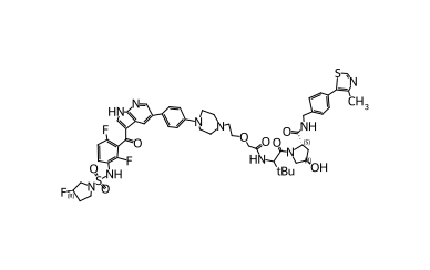 Cc1ncsc1-c1ccc(CNC(=O)[C@@H]2C[C@@H](O)CN2C(=O)C(NC(=O)COCCN2CCN(c3ccc(-c4cnc5[nH]cc(C(=O)c6c(F)ccc(NS(=O)(=O)N7CC[C@@H](F)C7)c6F)c5c4)cc3)CC2)C(C)(C)C)cc1